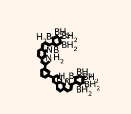 Bc1c(B)c(B)c(-c2ccc3ccc4cc(-c5cccc(-c6cnc7c(ccc8ccc(-c9c(B)c(B)c(B)c(B)c9B)nc87)c6)c5)cnc4c3n2)c(B)c1B